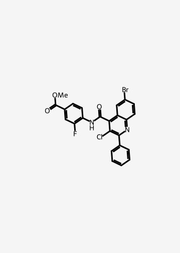 COC(=O)c1ccc(NC(=O)c2c(Cl)c(-c3ccccc3)nc3ccc(Br)cc23)c(F)c1